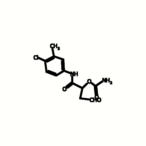 Cc1cc(NC(=O)C(CC=O)OC(N)=O)ccc1Cl